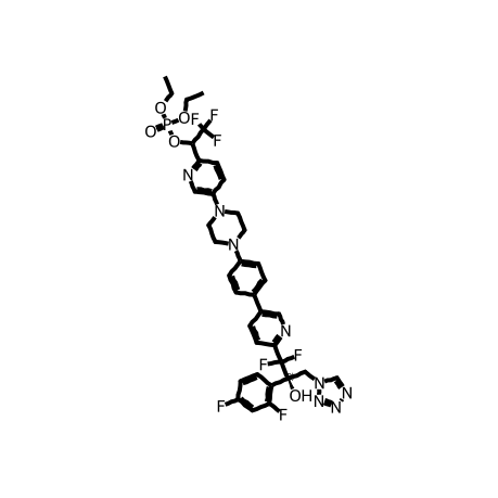 CCOP(=O)(OCC)OC(c1ccc(N2CCN(c3ccc(-c4ccc(C(F)(F)[C@](O)(Cn5cnnn5)c5ccc(F)cc5F)nc4)cc3)CC2)cn1)C(F)(F)F